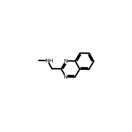 CNCc1ncc2ccccc2n1